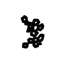 c1ccc(-c2ccc(N(c3ccc4c(c3)-c3ccccc3-c3ccccc3C43c4ccccc4-c4c3ccc3c4oc4ccccc43)c3cccc4oc5ccccc5c34)cc2)cc1